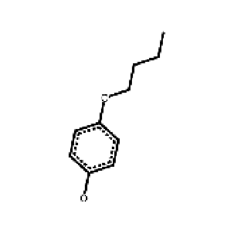 CCCCOc1ccc([O])cc1